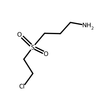 NCCCS(=O)(=O)CCCl